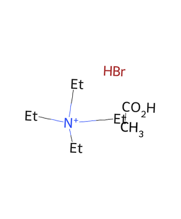 Br.CC(=O)O.CC[N+](CC)(CC)CC